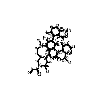 C=CC(=O)N1CC2CCN(C)c3c(F)c(-c4c(C)ccc5[nH]ncc45)c(F)c4c3c(nc(=O)n4-c3c(C)ccnc3C(C)C)N2CC1C